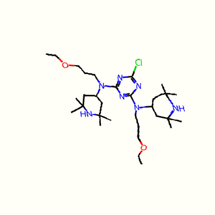 CCOCCCN(c1nc(Cl)nc(N(CCCOCC)C2CC(C)(C)NC(C)(C)C2)n1)C1CC(C)(C)NC(C)(C)C1